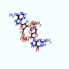 B[P@]1(=O)OCC2OC(n3cnc4c(=O)[nH]c(N)nc43)C(OP(=O)(O)OCC3OC(n4cnc5c(N)ncnc54)C(F)C3O1)C2OC